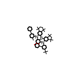 Cc1cc2c3c(c1)N(c1ccc(C(C)(C)C)cc1-c1ccccc1)c1cc4c(cc1B3c1cc3c(cc1N2c1cc(-c2ccccc2)ccc1C)C(C)(C)CCC3(C)C)C(C)(C)CC4(C)C